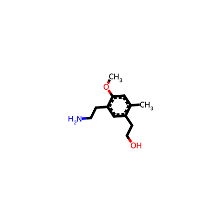 COc1cc(C)c(CCO)cc1CCN